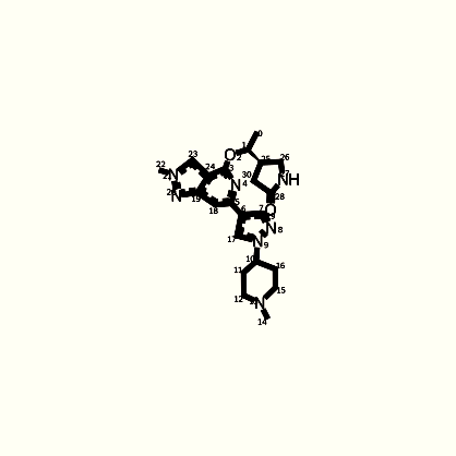 CC(Oc1nc(-c2cnn(C3CCN(C)CC3)c2)cc2nn(C)cc12)[C@H]1CNC(=O)C1